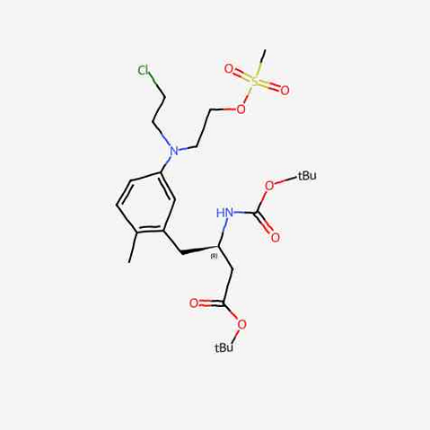 Cc1ccc(N(CCCl)CCOS(C)(=O)=O)cc1C[C@H](CC(=O)OC(C)(C)C)NC(=O)OC(C)(C)C